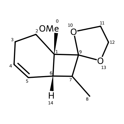 CO[C@]12CCC=C[C@H]1C(C)C21OCCO1